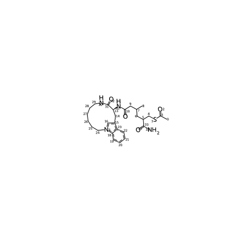 CC(=O)SCC(CC(C)CC(=O)N[C@H]1Cc2cn(c3ccccc23)CCCCCCNC1=O)C(N)=O